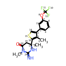 Cc1c(-c2cccc(OC(F)(F)F)c2)csc1[C@]1(C)CC(=O)N(C)C(=N)N1